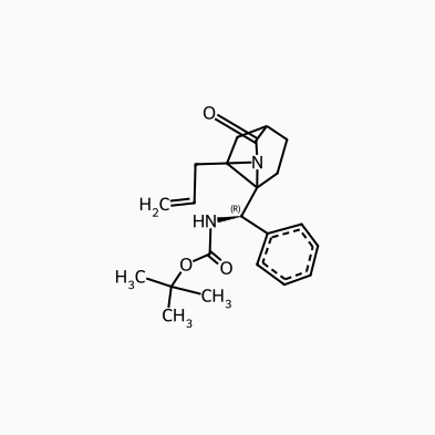 C=CCN1C(=O)C2CCC1([C@H](NC(=O)OC(C)(C)C)c1ccccc1)CC2